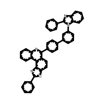 c1ccc(-c2nc3c(ccc4c(-c5ccc(-c6cccc(-n7c(-c8ccccc8)nc8ccccc87)c6)cc5)nc5ccccc5c43)o2)cc1